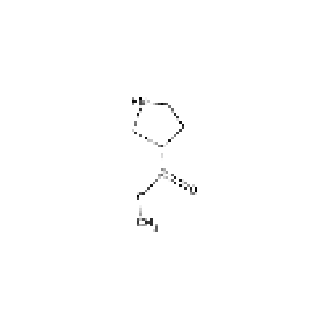 COC(=O)[C@H]1CCNC1